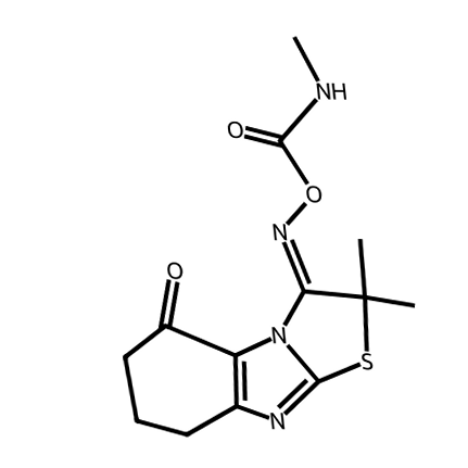 CNC(=O)ON=C1n2c(nc3c2C(=O)CCC3)SC1(C)C